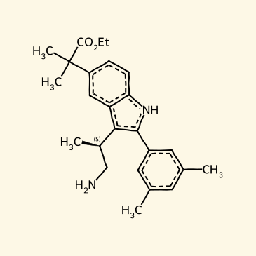 CCOC(=O)C(C)(C)c1ccc2[nH]c(-c3cc(C)cc(C)c3)c([C@H](C)CN)c2c1